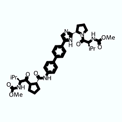 COC(=O)N[C@H](C(=O)C1CCC[C@H]1C(=O)Nc1ccc(-c2ccc(-c3cnc([C@@H]4CCCN4C(=O)[C@@H](NC(=O)OC)C(C)C)[nH]3)cc2)cc1)C(C)C